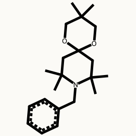 CC1(C)COC2(CC(C)(C)N(Cc3ccccc3)C(C)(C)C2)OC1